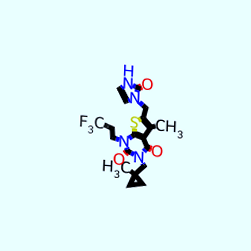 Cc1c(Cn2cc[nH]c2=O)sc2c1c(=O)n(CC1(C)CC1)c(=O)n2CCC(F)(F)F